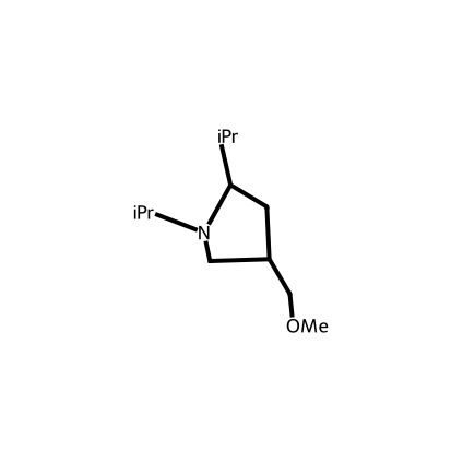 COCC1CC(C(C)C)N(C(C)C)C1